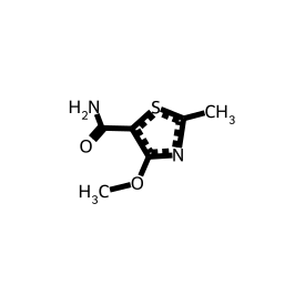 COc1nc(C)sc1C(N)=O